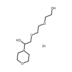 OCCOCCOCC(O)N1CCOCC1.[Zn]